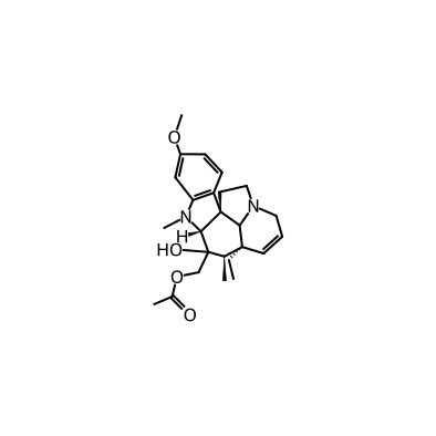 CC[C@]12C=CCN3CC[C@@]4(c5ccc(OC)cc5N(C)[C@H]4C(O)(COC(C)=O)[C@@H]1C)C32